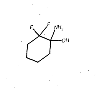 NC1(O)CCCCC1(F)F